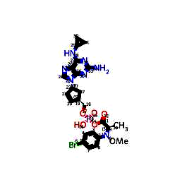 CON(c1ccc(Br)cc1)[C@@H](C)C(=O)OP(=O)(O)OC[C@@H]1C=C[C@H](n2cnc3c(NC4CC4)nc(N)nc32)C1